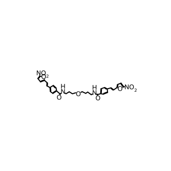 O=C(NCCCCOCCCCNC(=O)c1ccc(C=Cc2ccc([N+](=O)[O-])o2)cc1)c1ccc(C=Cc2ccc([N+](=O)[O-])o2)cc1